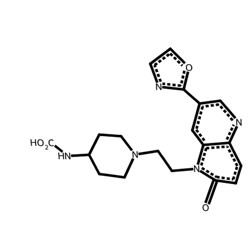 O=C(O)NC1CCN(CCn2c(=O)ccc3ncc(-c4ncco4)cc32)CC1